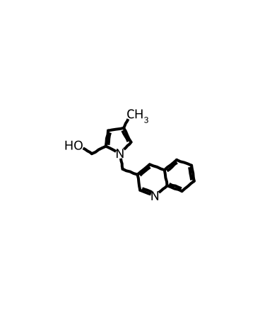 Cc1cc(CO)n(Cc2cnc3ccccc3c2)c1